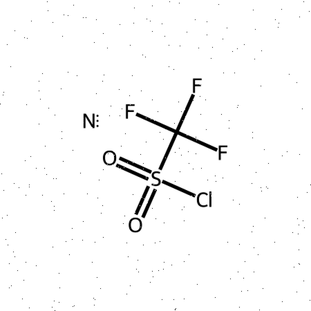 O=S(=O)(Cl)C(F)(F)F.[N]